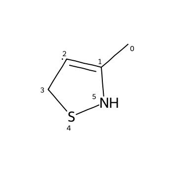 CC1=[C]CSN1